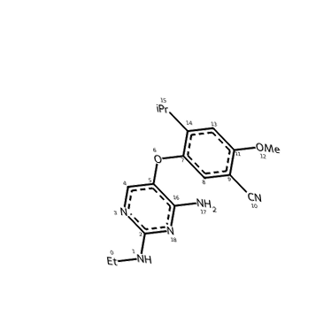 CCNc1ncc(Oc2cc(C#N)c(OC)cc2C(C)C)c(N)n1